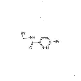 CC(C)CNC(=O)c1ccc(C(C)C)nn1